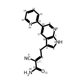 N#C/C(=C\Cc1c[nH]c2ncc(-c3ccccn3)cc12)C(N)=O